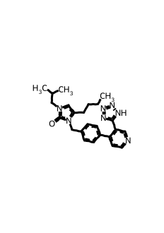 CCCCc1cn(CC(C)C)c(=O)n1Cc1ccc(-c2ccncc2-c2nnn[nH]2)cc1